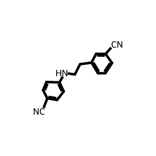 N#Cc1ccc(NCCc2cccc(C#N)c2)cc1